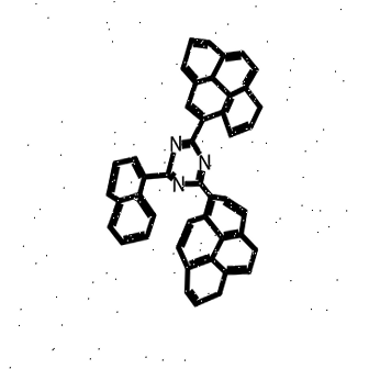 C1=CC2=CC=C3CC=CC4=C3C2C(=C1)C=C4c1nc(-c2cccc3ccccc23)nc(-c2ccc3c4c5c(ccc24)C=CCC5=CC3)n1